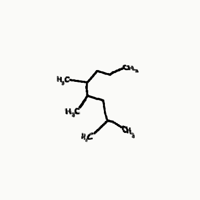 CCCC(C)C(C)CC(C)C